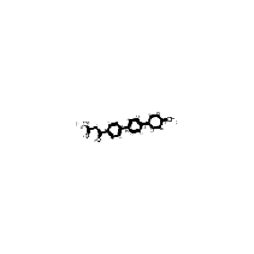 CC(=O)CC(=O)c1ccc(-c2ccc(C3CCC(C)CC3)cc2)cc1